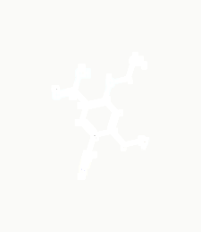 CCOc1cc(CBr)c(C#N)cc1C(=O)O